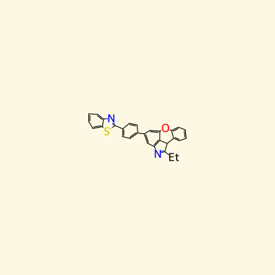 CCC1=Nc2cc(-c3ccc(-c4nc5ccccc5s4)cc3)cc3c2C1c1ccccc1O3